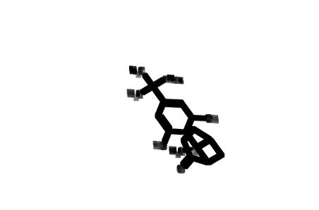 CCCCCCC(C)(C)C1=CC(O)C([C@@]2(C)C3CCC(=O)C2C3)C(O)=C1